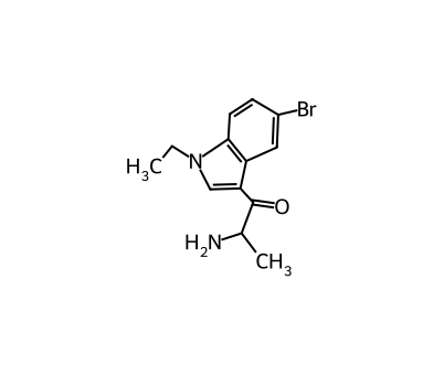 CCn1cc(C(=O)C(C)N)c2cc(Br)ccc21